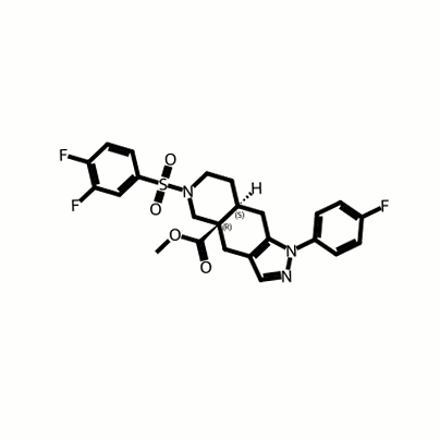 COC(=O)[C@]12Cc3cnn(-c4ccc(F)cc4)c3C[C@@H]1CCN(S(=O)(=O)c1ccc(F)c(F)c1)C2